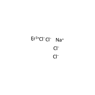 [Cl-].[Cl-].[Cl-].[Cl-].[Er+3].[Na+]